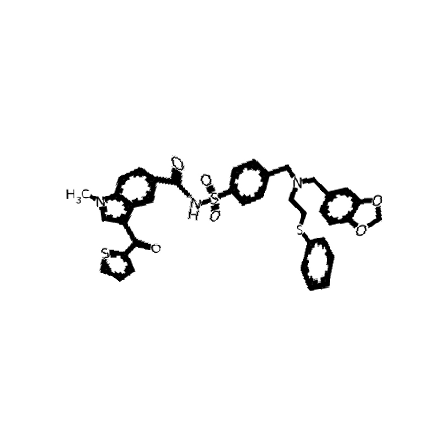 Cn1cc(C(=O)c2cccs2)c2cc(C(=O)NS(=O)(=O)c3ccc(CN(CCSc4ccccc4)Cc4ccc5c(c4)OCO5)cc3)ccc21